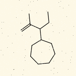 C=C(C)C(CC)C1CCCCCC1